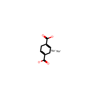 O=C([O-])C1=CCC(C(=O)[O-])=CC1.[Na+].[Na+]